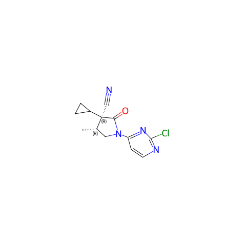 C[C@H]1CN(c2ccnc(Cl)n2)C(=O)[C@]1(C#N)C1CC1